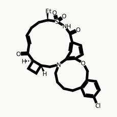 CC[C@@H]1CC/C=C/C(=O)[C@@H]2CC[C@H]2CN2CCCCc3cc(Cl)ccc3COc3ccc(cc32)C(=O)NS1(=O)=O